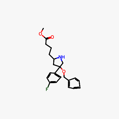 COC(=O)CCCC1CC(OCc2ccccc2)(c2ccc(F)cc2)CN1